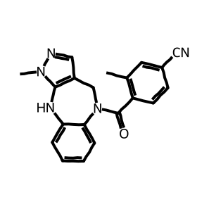 Cc1cc(C#N)ccc1C(=O)N1Cc2cnn(C)c2Nc2ccccc21